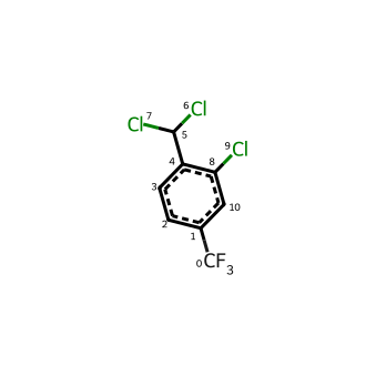 FC(F)(F)c1ccc(C(Cl)Cl)c(Cl)c1